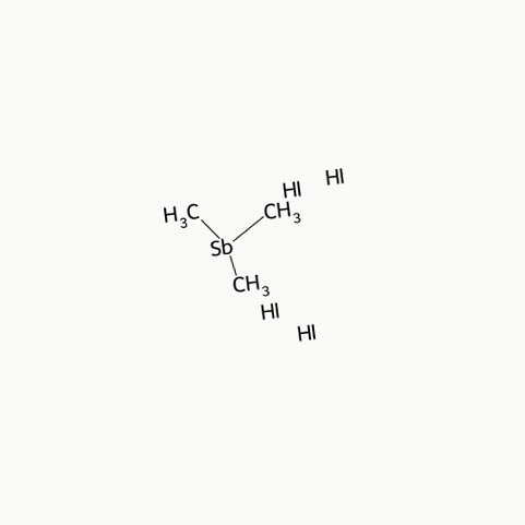 I.I.I.I.[CH3][Sb]([CH3])[CH3]